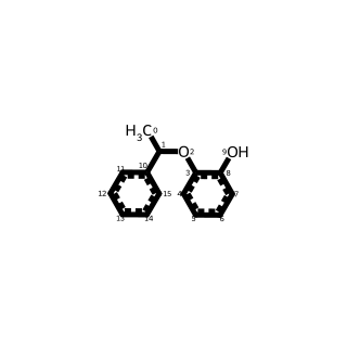 CC(Oc1ccccc1O)c1ccccc1